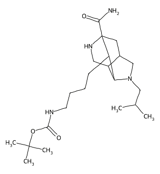 CC(C)CN1CC2CC3(C(N)=O)NCC2C1C3CCCCNC(=O)OC(C)(C)C